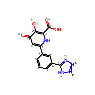 O=C(O)c1[nH]c(-c2cccc(-c3nnn[nH]3)c2)cc(=O)c1O